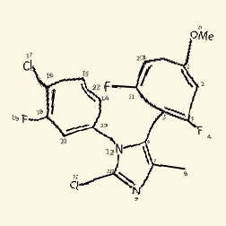 COc1cc(F)c(-c2c(C)nc(Cl)n2-c2ccc(Cl)c(F)c2)c(F)c1